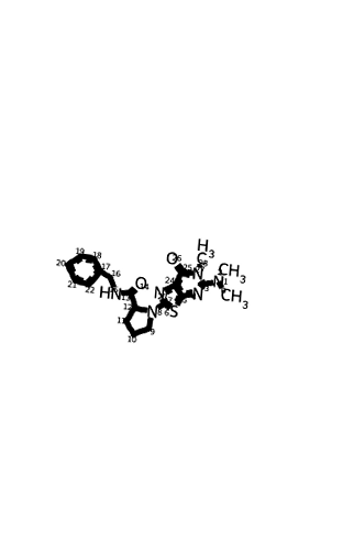 CN(C)c1nc2sc(N3CCCC3C(=O)NCc3ccccc3)nc2c(=O)n1C